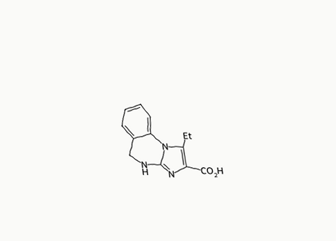 CCc1c(C(=O)O)nc2n1-c1ccccc1CN2